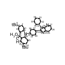 CC(C)(C)c1ccc2c(c1)C(C)(C)c1cc(C(C)(C)C)ccc1N2c1ccc(-c2nc3cccnc3n2-c2ccccc2)cc1